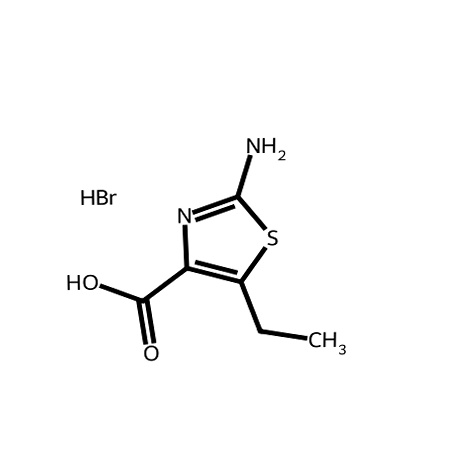 Br.CCc1sc(N)nc1C(=O)O